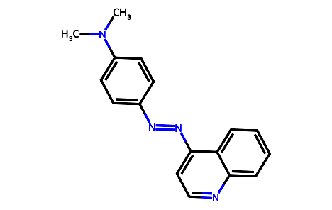 CN(C)c1ccc(/N=N/c2ccnc3ccccc23)cc1